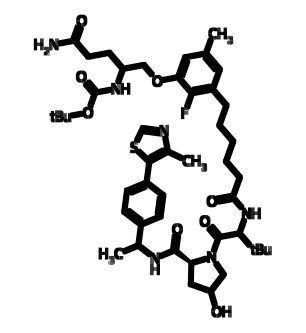 Cc1cc(CCCCCC(=O)NC(C(=O)N2CC(O)C[C@H]2C(=O)NC(C)c2ccc(-c3scnc3C)cc2)C(C)(C)C)c(F)c(OCC(CCC(N)=O)NC(=O)OC(C)(C)C)c1